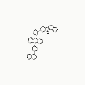 c1cc(-c2ccc3c(c2)sc2c4ccccc4ccc32)cc(-c2c3ccccc3c(-c3ccc(-c4cccc5ccccc45)cc3)c3ccccc23)c1